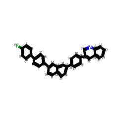 Fc1ccc(-c2ccc(-c3ccc4ccc(-c5ccc(-c6cnc7ccccc7c6)cc5)cc4c3)cc2)cc1